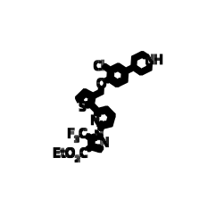 CCOC(=O)c1cnn(-c2cccc(-c3sccc3COc3ccc(C4CCNCC4)cc3Cl)n2)c1C(F)(F)F